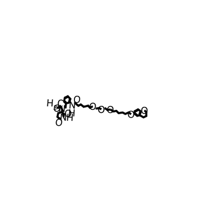 Cc1cccc(NC(=O)CCCCCOCCOCCOCCCCCCOc2ccc3c(c2)CCCO3)c1CN(C=O)C1CCC(=O)NC1=O